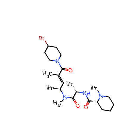 C/C(=C\[C@H](C(C)C)N(C)C(=O)[C@@H](NC(=O)[C@H]1CCCCN1C(C)C)C(C)C)C(=O)N1CCC(Br)CC1